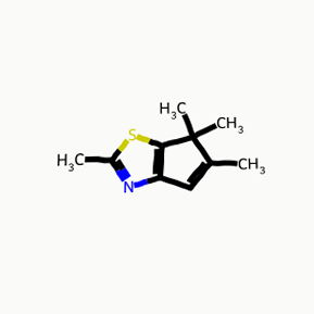 CC1=Cc2nc(C)sc2C1(C)C